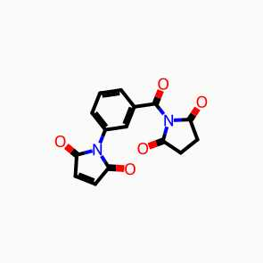 O=C1CCC(=O)N1C(=O)c1cccc(N2C(=O)C=CC2=O)c1